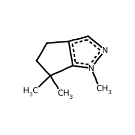 Cn1ncc2c1C(C)(C)CC2